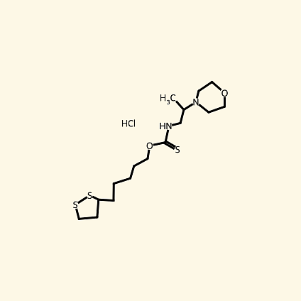 CC(CNC(=S)OCCCCCC1CCSS1)N1CCOCC1.Cl